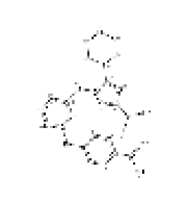 NC(=O)c1ccc(Nc2cc(Oc3cn(C(F)F)nc3C3CCOCC3)ccn2)cc1